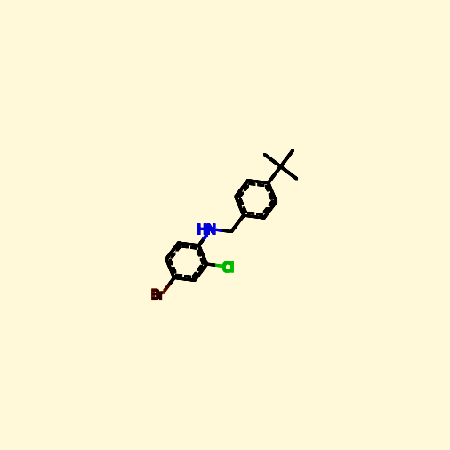 CC(C)(C)c1ccc(CNc2ccc(Br)cc2Cl)cc1